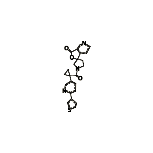 O=C1OC2(CCN(C(=O)C3(c4ccc(-c5ccsc5)nc4)CC3)C2)c2ccncc21